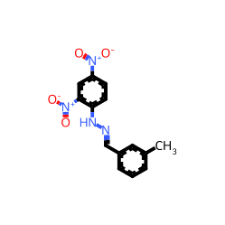 Cc1cccc(C=NNc2ccc([N+](=O)[O-])cc2[N+](=O)[O-])c1